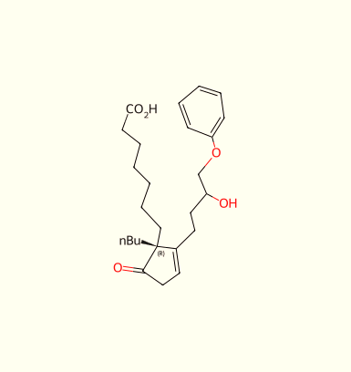 CCCC[C@]1(CCCCCCC(=O)O)C(=O)CC=C1CCC(O)COc1ccccc1